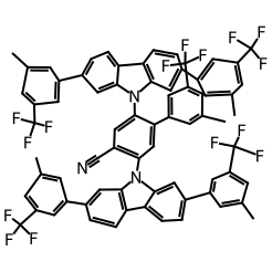 Cc1cc(-c2ccc3c4ccc(-c5cc(C)cc(C(F)(F)F)c5)cc4n(-c4cc(-c5cc(C)cc(C(F)(F)F)c5)c(-n5c6cc(-c7cc(C)cc(C(F)(F)F)c7)ccc6c6ccc(-c7cc(C)cc(C(F)(F)F)c7)cc65)cc4C#N)c3c2)cc(C(F)(F)F)c1